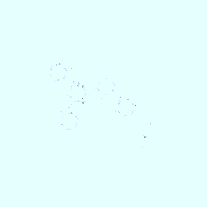 CC1(C)OB(c2ccc(-c3cccc(-c4nc(-c5ccccc5)cc(-c5ccccc5)n4)c3)cc2)OC1(C)C